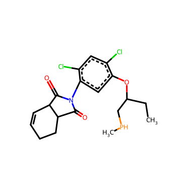 CCC(CPC)Oc1cc(N2C(=O)C3C=CCCC3C2=O)c(Cl)cc1Cl